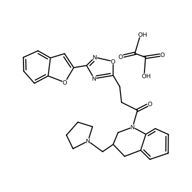 O=C(CCc1nc(-c2cc3ccccc3o2)no1)N1CC(CN2CCCC2)Cc2ccccc21.O=C(O)C(=O)O